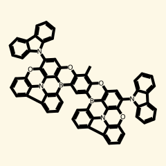 Cc1c2c(cc3c1Oc1cc(-n4c5ccccc5c5ccccc54)c4c5c1B3c1cccc3c6cccc(c6n-5c13)O4)B1c3c(cc(-n4c5ccccc5c5ccccc54)c4c3-n3c5c(cccc5c5cccc1c53)O4)O2